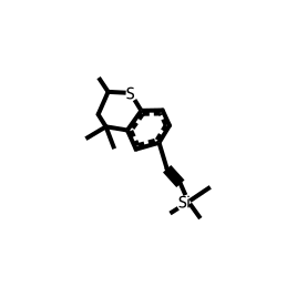 CC1CC(C)(C)c2cc(C#C[Si](C)(C)C)ccc2S1